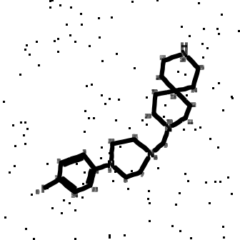 Ic1ccc(N2CCN(CN3CCC4(CCNCC4)CC3)CC2)cc1